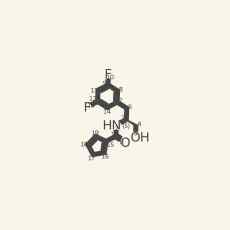 O=C(N[C@H](CO)Cc1cc(F)cc(F)c1)C1=CCC=C1